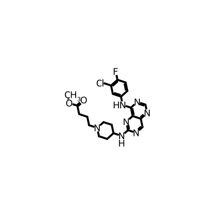 COC(=O)CCCN1CCC(Nc2ncc3ncnc(Nc4ccc(F)c(Cl)c4)c3n2)CC1